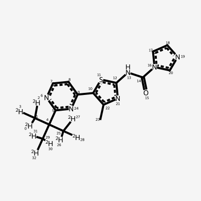 [2H]C([2H])([2H])C(c1nccc(-c2sc(NC(=O)n3ccnc3)nc2C)n1)(C([2H])([2H])[2H])C([2H])([2H])[2H]